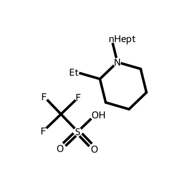 CCCCCCCN1CCCCC1CC.O=S(=O)(O)C(F)(F)F